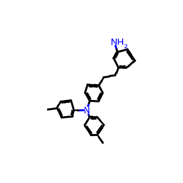 Cc1ccc(N(c2ccc(C)cc2)c2ccc(CCc3cccc(N)c3)cc2)cc1